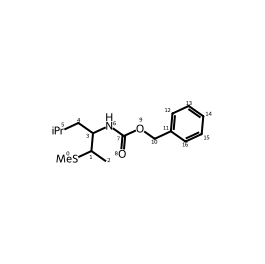 CSC(C)C(CC(C)C)NC(=O)OCc1ccccc1